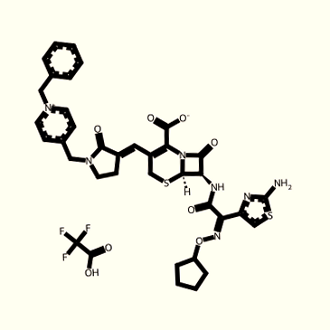 Nc1nc(/C(=N/OC2CCCC2)C(=O)N[C@@H]2C(=O)N3C(C(=O)[O-])=C(/C=C4\CCN(Cc5cc[n+](Cc6ccccc6)cc5)C4=O)CS[C@H]23)cs1.O=C(O)C(F)(F)F